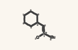 CCC(C)[N+]([O-])=CC1CCCCC1